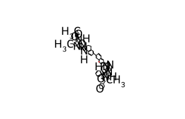 CCCN(Cc1nc2c([nH]1)-c1ccc(-c3ccc4cc(-c5cnc(CN(CCC)C(=O)[C@H](NC(=O)CC6CCOCC6)c6ccccc6)[nH]5)ccc4c3)cc1CC2)C(=O)CNC(=O)OC